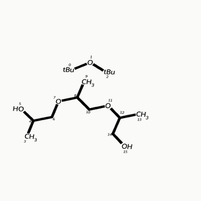 CC(C)(C)OC(C)(C)C.CC(O)COC(C)COC(C)CO